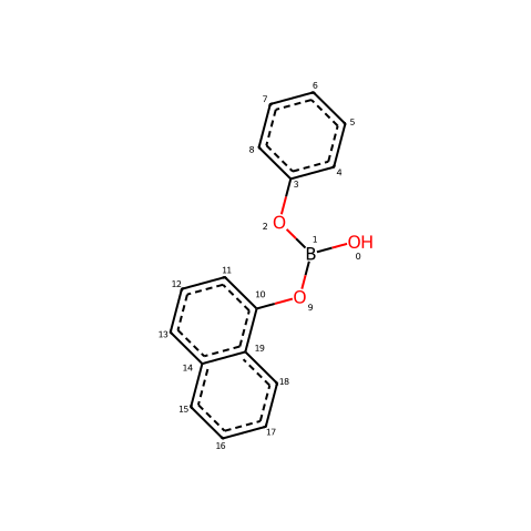 OB(Oc1ccccc1)Oc1cccc2ccccc12